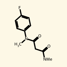 CNC(=O)CC(=O)N(C)c1ccc(F)cc1